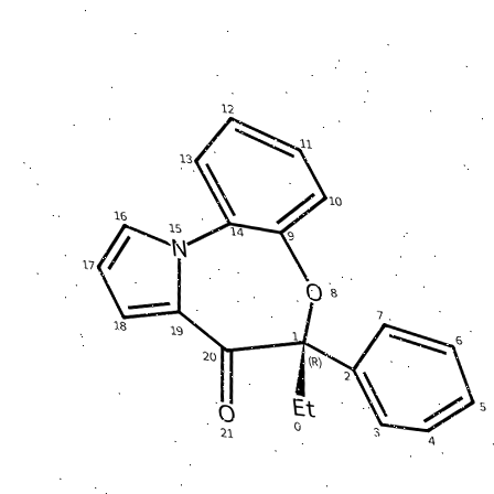 CC[C@]1(c2ccccc2)Oc2ccccc2-n2cccc2C1=O